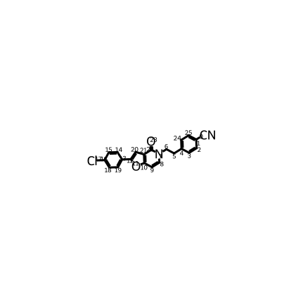 N#Cc1ccc(CCn2ccc3oc(-c4ccc(Cl)cc4)cc3c2=O)cc1